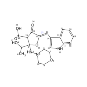 CC(O)C1(NN2CCOCC2)O/C(=C\c2c[nH]c3ncccc23)C(=O)C1C(=O)O